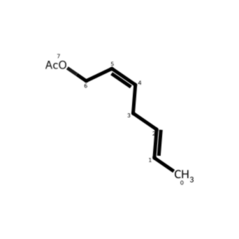 C/C=C/C/C=C\COC(C)=O